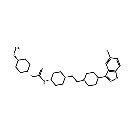 CO[C@H]1CC[C@H](CC(=O)N[C@H]2CC[C@H](CCN3CCC(c4noc5ccc(Cl)cc45)CC3)CC2)CC1